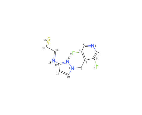 Fc1cncc(F)c1Cn1ccc(N=CC=S)n1